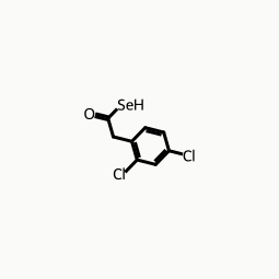 O=C([SeH])Cc1ccc(Cl)cc1Cl